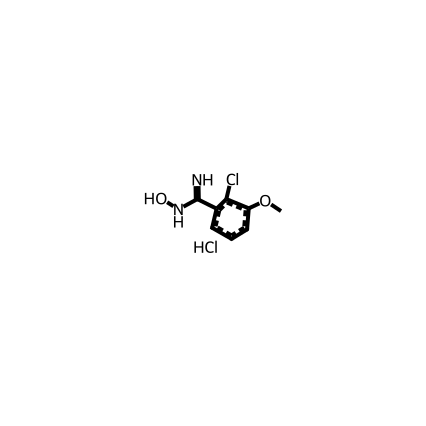 COc1cccc(C(=N)NO)c1Cl.Cl